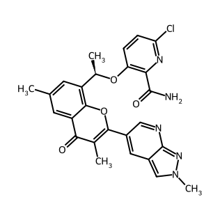 Cc1cc([C@@H](C)Oc2ccc(Cl)nc2C(N)=O)c2oc(-c3cnc4nn(C)cc4c3)c(C)c(=O)c2c1